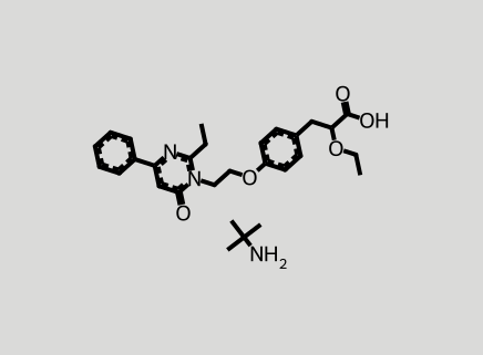 CC(C)(C)N.CCOC(Cc1ccc(OCCn2c(CC)nc(-c3ccccc3)cc2=O)cc1)C(=O)O